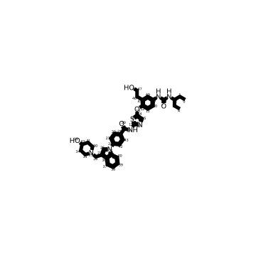 CCC(CC)NC(=O)Nc1ccc(Oc2cnc(NC(=O)c3ccc(-n4cc(CN5CCC(O)CC5)c5ccccc54)cc3)s2)c(CCO)c1